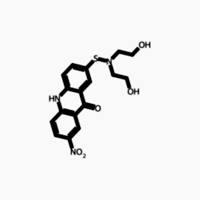 O=c1c2cc(SN(CCO)CCO)ccc2[nH]c2ccc([N+](=O)[O-])cc12